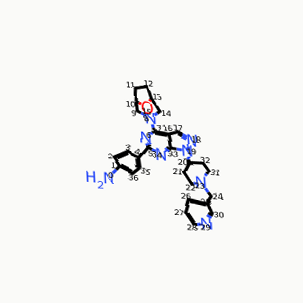 Nc1ccc(-c2nc(N3CC4CCC(C3)O4)c3cnn(C4CCN(Cc5cccnc5)CC4)c3n2)cc1